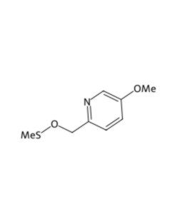 COc1ccc(COSC)nc1